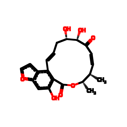 C[C@@H]1OC(=O)c2c(O)cc3occc3c2/C=C/C[C@H](O)[C@H](O)C(=O)/C=C\[C@@H]1C